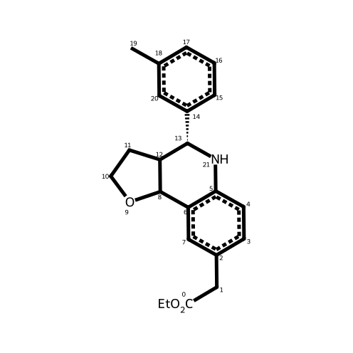 CCOC(=O)Cc1ccc2c(c1)C1OCCC1[C@H](c1cccc(C)c1)N2